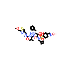 COCc1nc(CN(C)C(=O)N[C@H](C(=O)N[C@@H](Cc2ccccc2)[C@H](O)CN(CC2CCC2)S(=O)(=O)c2ccc(/C=N/O)cc2)C(C)C)cs1